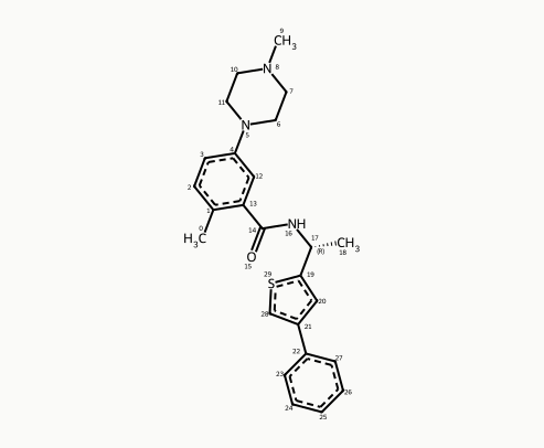 Cc1ccc(N2CCN(C)CC2)cc1C(=O)N[C@H](C)c1cc(-c2ccccc2)cs1